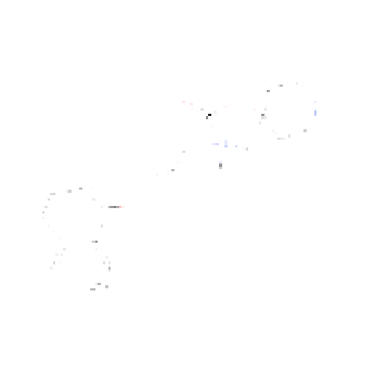 C[N+]1(CC(O)COc2cccc3ccccc23)CC2(CCNCC2)OC1=O